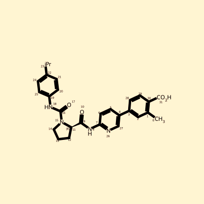 Cc1cc(-c2ccc(NC(=O)[C@H]3CCCN3C(=O)Nc3ccc(C(C)C)cc3)nc2)ccc1C(=O)O